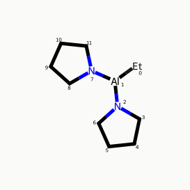 C[CH2][Al]([N]1CCCC1)[N]1CCCC1